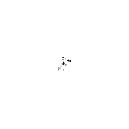 [BiH3].[Hg].[InH3].[Zn]